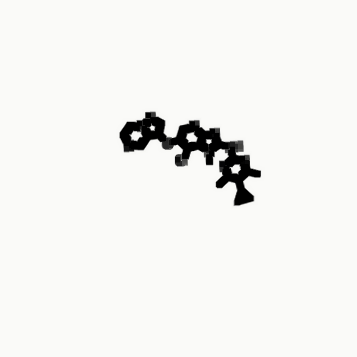 Cc1nc(Nc2nc3ncc(Oc4cnn5ccncc45)c(Cl)c3n2C)nc(C)c1C1CC1